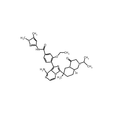 CCOc1cc(C(=O)Nc2cc(C)n(C)n2)ccc1-c1nc([C@@]2(C)CC[C@@H]3CN(C(C)C)CC(=O)N3C2)n2ccnc(N)c12